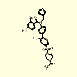 CC(=O)N1CCN(S(=O)(=O)c2cnc(-c3ccc(N(Cc4ccsc4)C(=O)c4ccc(O)cc4O)cc3)c(C)c2)CC1